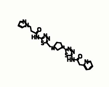 O=C(CCn1cccn1)Nc1nnc(C[C@@H]2CC[C@H](c3nnc(NC(=O)Cc4ccccn4)s3)C2)s1